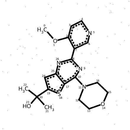 COc1ccncc1-c1nc(N2CCOCC2)c2sc(C(C)(C)O)cc2n1